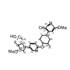 COc1cc(N2CCC(Oc3ccc(N4C[C@H](OC)[C@@H](C)[C@@H]4CC(=O)O)cn3)C(C)C2)c(Cl)cn1